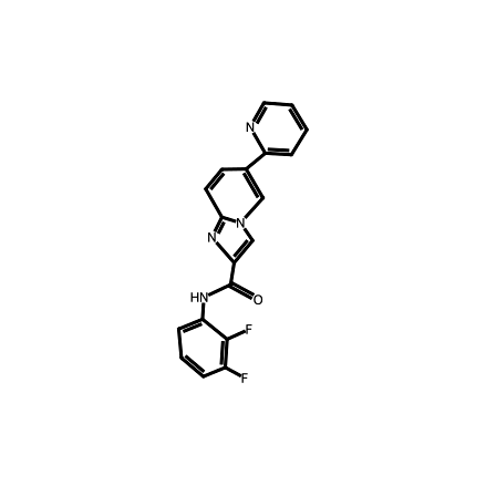 O=C(Nc1cccc(F)c1F)c1cn2cc(-c3ccccn3)ccc2n1